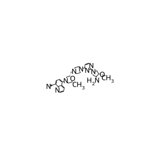 CO[C@@H]1CN(c2nccc(N3CCN(C[C@H]4CN(c5ccc(C#N)c6ncccc56)C[C@@H](C)O4)CC3)n2)C[C@@H]1N